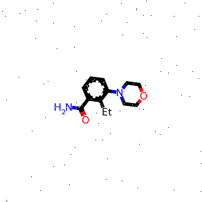 CCc1c(C(N)=O)cccc1N1CCOCC1